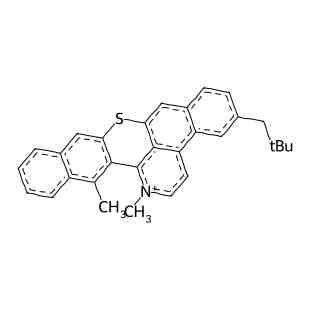 Cc1c2c(cc3ccccc13)Sc1cc3ccc(CC(C)(C)C)cc3c3cc[n+](C)c-2c13